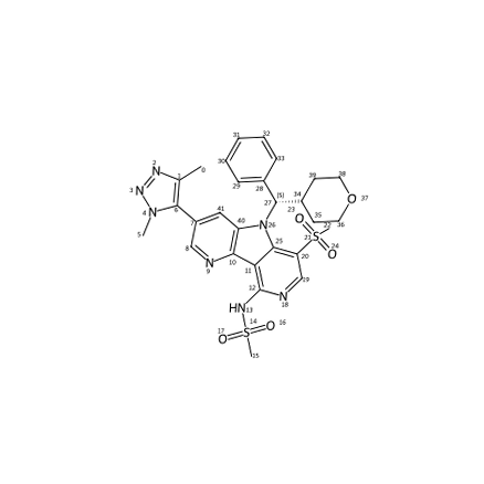 Cc1nnn(C)c1-c1cnc2c3c(NS(C)(=O)=O)ncc(S(C)(=O)=O)c3n([C@H](c3ccccc3)C3CCOCC3)c2c1